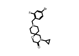 O=C1COC2(CCN(Cc3ccc(Br)cc3F)CC2)CN1C1CC1